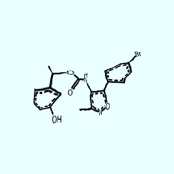 Cc1noc(-c2ccc(Br)cc2)c1NC(=O)O[C@H](C)c1cccc(O)c1